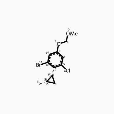 COCOc1cc(Cl)c([C@@H]2C[C@@H]2C)c(Br)c1